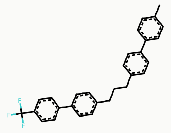 Cc1ccc(-c2ccc(CCCc3ccc(-c4ccc(C(F)(F)F)cc4)cc3)cc2)cc1